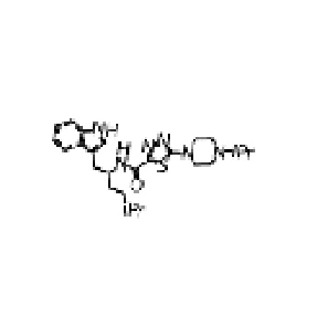 CC(C)CCC(Cc1c[nH]c2ccccc12)NC(=O)c1nnc(N2CCN(C(C)C)CC2)s1